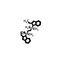 CCC1=Cc2ccccc2[CH]1[Hf]([CH3])([CH3])[CH2][CH2][Hf]([CH3])([CH3])[CH]1C(CC)=Cc2ccccc21